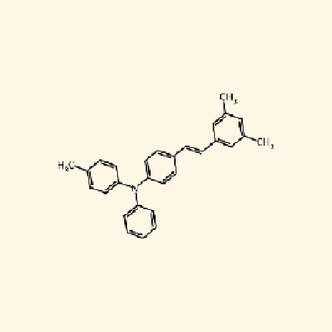 Cc1ccc(N(c2ccccc2)c2ccc(C=Cc3cc(C)cc(C)c3)cc2)cc1